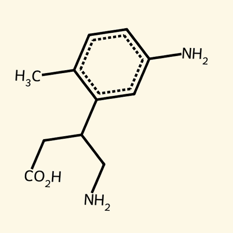 Cc1ccc(N)cc1C(CN)CC(=O)O